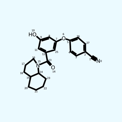 N#Cc1ccc(Oc2cc(O)cc(C(=O)N3CCCC4CCCCC43)c2)cc1